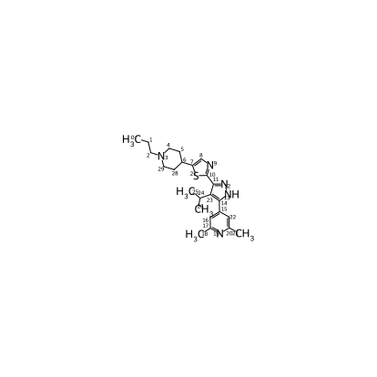 CCCN1CCC(c2cnc(-c3n[nH]c(-c4cc(C)nc(C)c4)c3C(C)C)s2)CC1